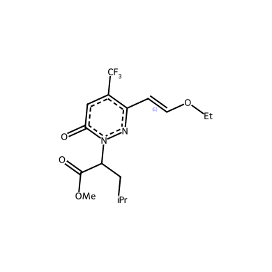 CCO/C=C/c1nn(C(CC(C)C)C(=O)OC)c(=O)cc1C(F)(F)F